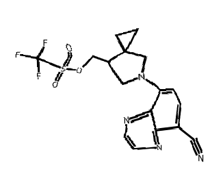 N#Cc1ccc(N2CC(COS(=O)(=O)C(F)(F)F)C3(CC3)C2)c2nccnc12